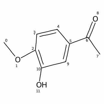 COc1[c]cc(C(C)=O)cc1O